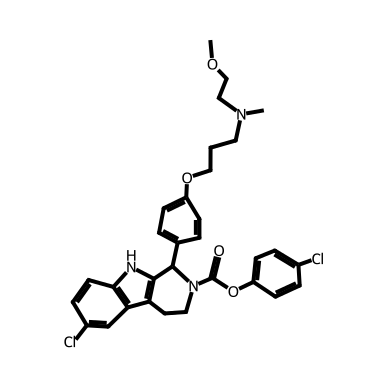 COCCN(C)CCCOc1ccc(C2c3[nH]c4ccc(Cl)cc4c3CCN2C(=O)Oc2ccc(Cl)cc2)cc1